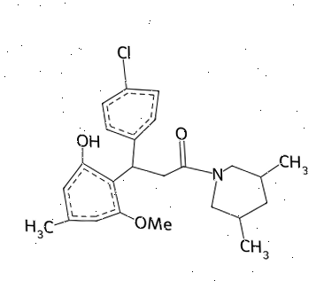 COc1cc(C)cc(O)c1C(CC(=O)N1CC(C)CC(C)C1)c1ccc(Cl)cc1